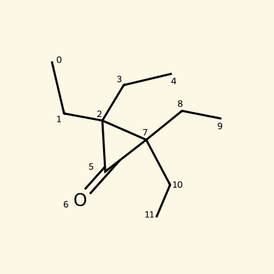 CCC1(CC)C(=O)C1(CC)CC